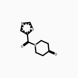 O=C1CCN(C(=O)c2cncs2)CC1